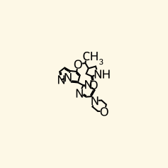 CC(Oc1cc(-c2ncc(N3CCOCC3)cn2)cn2nccc12)C1CNC(=O)C1